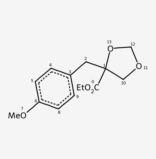 CCOC(=O)C1(Cc2ccc(OC)cc2)COCO1